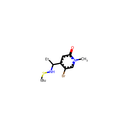 CCC(NSC(C)(C)C)c1cc(=O)n(C)cc1Br